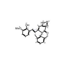 COc1cccc(/C=C/c2nc3[nH]nnc3c(=O)n2-c2c(C)cccc2C)c1O